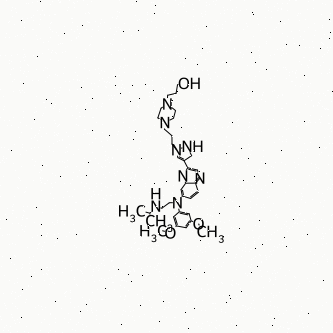 COc1cc(OC)cc(N(CCNC(C)C)c2ccc3ncc(C4=CN(CCCN5CCN(CCCO)CC5)NC4)nc3c2)c1